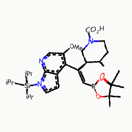 COc1cnc2c(ccn2[Si](C(C)C)(C(C)C)C(C)C)c1C(=CB1OC(C)(C)C(C)(C)O1)C1CN(C(=O)O)CCC1C